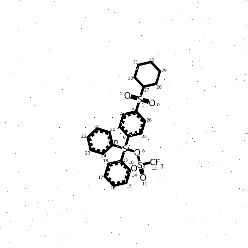 O=S(=O)(c1ccc(S(OS(=O)(=O)C(F)(F)F)(c2ccccc2)c2ccccc2)cc1)C1CCCCC1